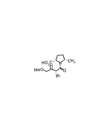 COCN[C@H](C(=O)N1[C@@H](C)CC[C@H]1C(=O)O)C(C)C